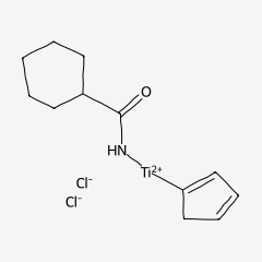 O=C([NH][Ti+2][C]1=CC=CC1)C1CCCCC1.[Cl-].[Cl-]